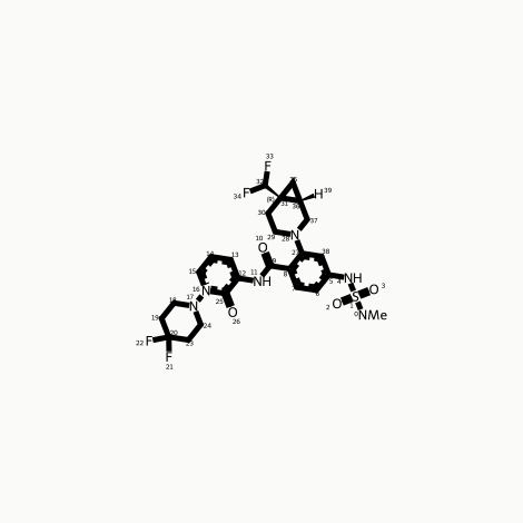 CNS(=O)(=O)Nc1ccc(C(=O)Nc2cccn(N3CCC(F)(F)CC3)c2=O)c(N2CC[C@]3(C(F)F)C[C@@H]3C2)c1